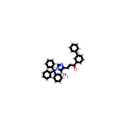 Cc1c(/C=C/C(=O)c2cccc(-c3ccccc3)c2)ncn1C(c1ccccc1)(c1ccccc1)c1ccccc1